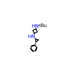 CC(C)(C)NC1CC(N[C@@H]2C[C@H]2c2ccccc2)C1